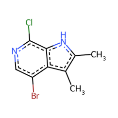 Cc1[nH]c2c(Cl)ncc(Br)c2c1C